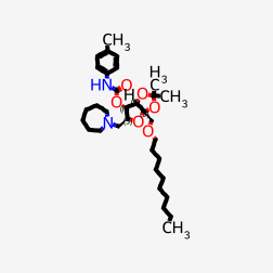 CCCCCCCCCCOC[C@@]12O[C@@H](CN3CCCCCC3)[C@@H](OC(=O)Nc3ccc(C)cc3)[C@@H]1OC(C)(C)O2